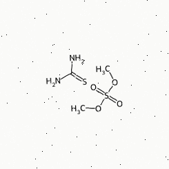 COS(=O)(=O)OC.NC(N)=S